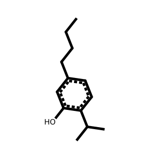 CCCCc1ccc(C(C)C)c(O)c1